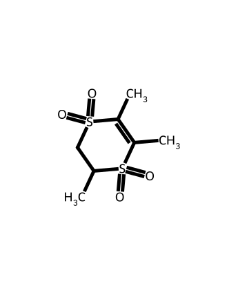 CC1=C(C)S(=O)(=O)C(C)CS1(=O)=O